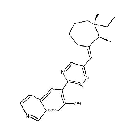 CC[C@@]1(C)CCCC/C(=C\c2cnc(-c3cc4ccncc4cc3O)nn2)[C@@H]1F